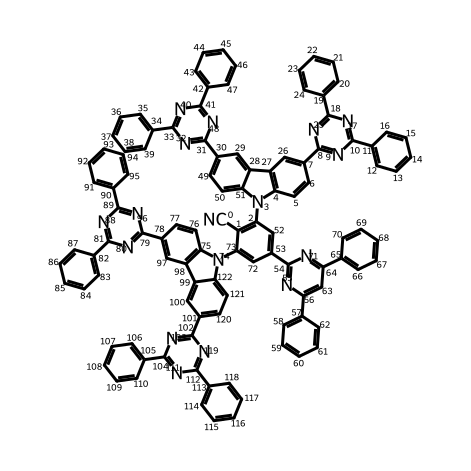 N#Cc1c(-n2c3ccc(-c4nc(-c5ccccc5)nc(-c5ccccc5)n4)cc3c3cc(-c4nc(-c5ccccc5)nc(-c5ccccc5)n4)ccc32)cc(-c2nc(-c3ccccc3)cc(-c3ccccc3)n2)cc1-n1c2ccc(-c3nc(-c4ccccc4)nc(-c4ccccc4)n3)cc2c2cc(-c3nc(-c4ccccc4)nc(-c4ccccc4)n3)ccc21